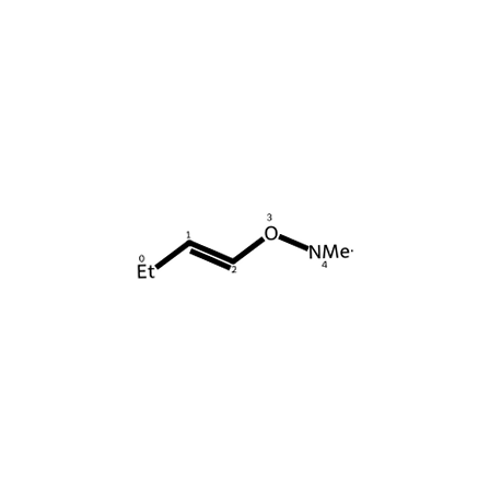 CCC=CO[N]C